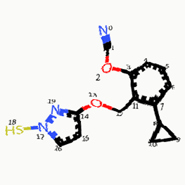 N#COc1cccc(C2CC2)c1COc1ccn(S)n1